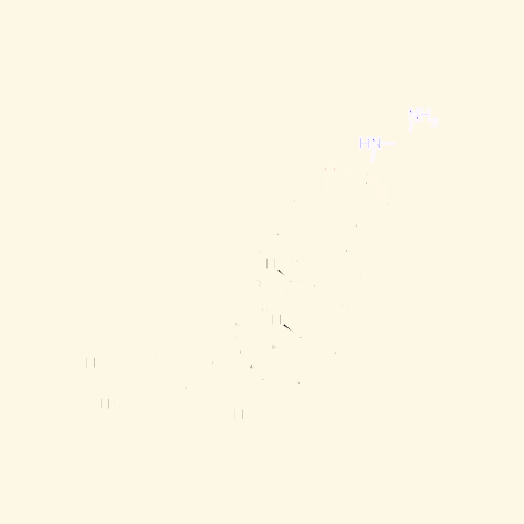 CC(C)CCC[C@@H](C)[C@H]1CC[C@H]2[C@@H]3CC=C4C[C@@H](OC(=O)NCN)CC[C@]4(C)[C@H]3CC[C@]12C